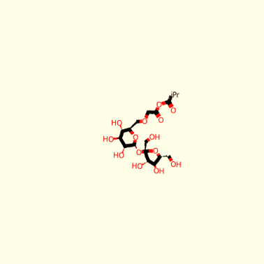 CC(C)C(=O)OC(=O)COC[C@H]1O[C@H](O[C@]2(CO)O[C@H](CO)[C@@H](O)[C@@H]2O)[C@H](O)[C@@H](O)[C@@H]1O